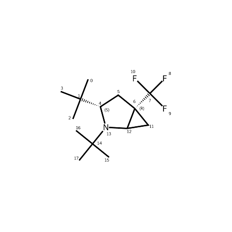 CC(C)(C)[C@@H]1C[C@@]2(C(F)(F)F)CC2N1C(C)(C)C